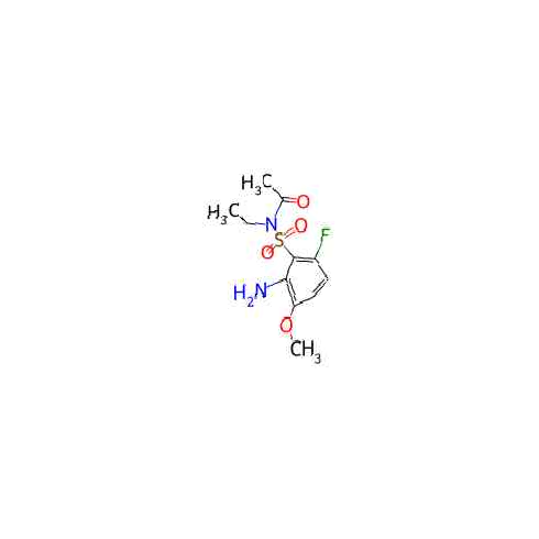 CCN(C(C)=O)S(=O)(=O)c1c(F)ccc(OC)c1N